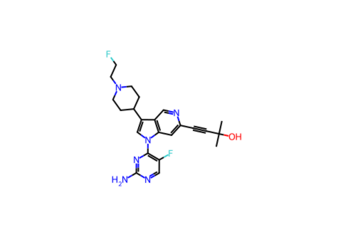 CC(C)(O)C#Cc1cc2c(cn1)c(C1CCN(CCF)CC1)cn2-c1nc(N)ncc1F